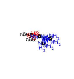 CCCCOc1ccc(C(=O)Nc2ccc(Nc3nc(N4C[C@H](N)C[C@H](N)C4)nc(N4C[C@H](N)C[C@H](N)C4)n3)cc2O)c(OCCCC)c1